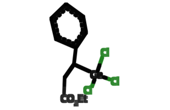 CCOC(=O)C[CH](c1ccccc1)[Ge]([Cl])([Cl])[Cl]